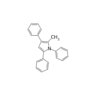 Cc1c(-c2ccccc2)cc(-c2ccccc2)n1-c1ccccc1